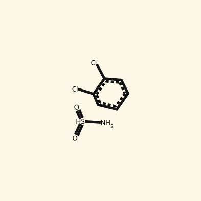 Clc1ccccc1Cl.N[SH](=O)=O